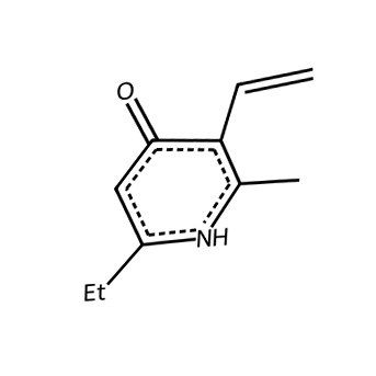 C=Cc1c(C)[nH]c(CC)cc1=O